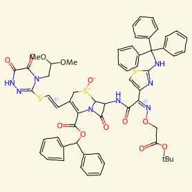 COC(Cn1c(S/C=C/C2=C(C(=O)OC(c3ccccc3)c3ccccc3)N3C(=O)C(NC(=O)/C(=N\OCC(=O)OC(C)(C)C)c4csc(NC(c5ccccc5)(c5ccccc5)c5ccccc5)n4)C3[S+]([O-])C2)n[nH]c(=O)c1=O)OC